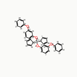 C1=C[CH]([Zr]([O]c2cccc(Oc3ccccc3)c2)([O]c2cccc(Oc3ccccc3)c2)[CH]2C=CC=C2)C=C1